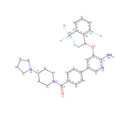 CC(Oc1cc(-c2ccc(C(=O)N3CCC(N4CCCC4)CC3)cc2)cnc1N)c1c(F)cccc1C(F)(F)F